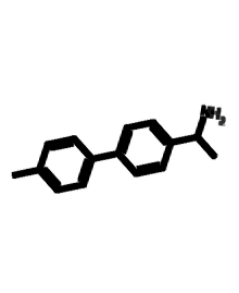 Cc1ccc(-c2ccc(C(C)N)cc2)cc1